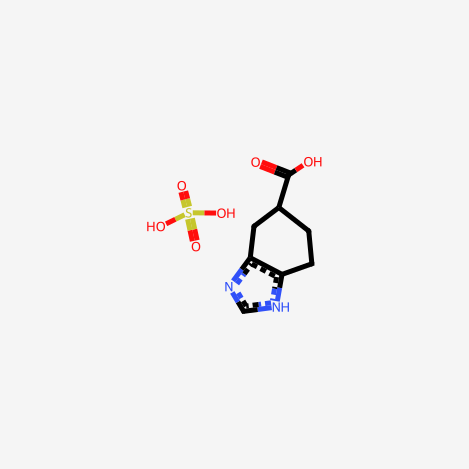 O=C(O)C1CCc2[nH]cnc2C1.O=S(=O)(O)O